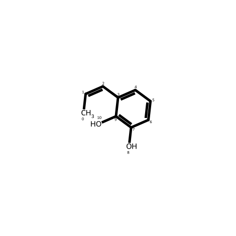 C/C=C\c1cccc(O)c1O